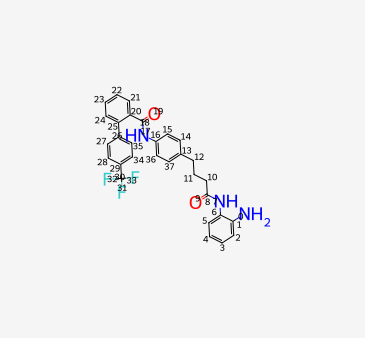 Nc1ccccc1NC(=O)CCCc1ccc(NC(=O)c2ccccc2-c2ccc(C(F)(F)F)cc2)cc1